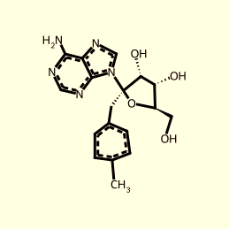 Cc1ccc(C[C@@]2(n3cnc4c(N)ncnc43)O[C@H](CO)[C@@H](O)[C@H]2O)cc1